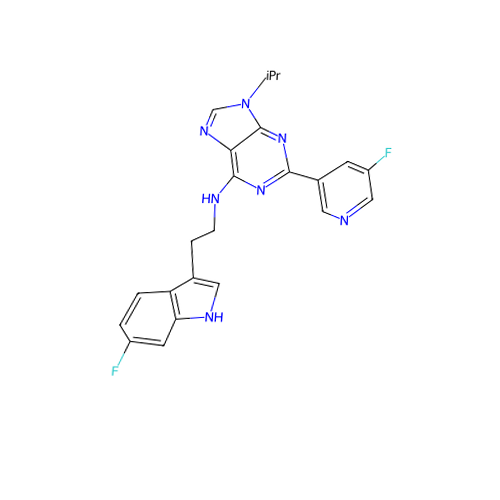 CC(C)n1cnc2c(NCCc3c[nH]c4cc(F)ccc34)nc(-c3cncc(F)c3)nc21